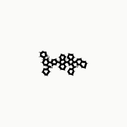 c1ccc(-c2nc3c4ccccc4ccc3c3c2cc(-c2c4ccccc4c(-c4ccc5c(c4)nc(-c4ccccc4)c4ccc6c7ccccc7oc6c45)c4ccccc24)c2ccccc23)cc1